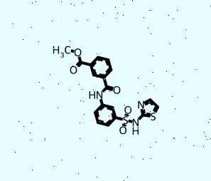 COC(=O)c1cccc(C(=O)Nc2cccc(S(=O)(=O)Nc3nccs3)c2)c1